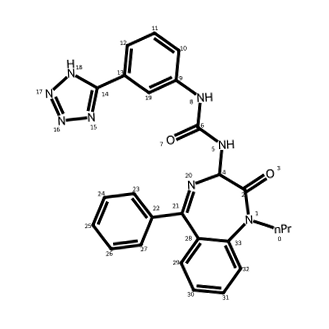 CCCN1C(=O)C(NC(=O)Nc2cccc(-c3nnn[nH]3)c2)N=C(c2ccccc2)c2ccccc21